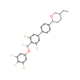 CCC1CCC(c2ccc(-c3cc(F)c(C(F)Oc4cc(F)c(F)c(F)c4)c(F)c3)cc2)OC1